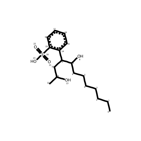 CCCCCCCC(O)C(CC(C)O)c1ccccc1S(=O)(=O)O